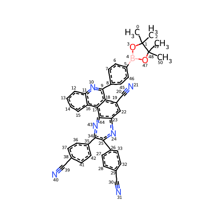 CC1(C)OB(c2ccc(-c3nc4ccccc4c4c3c(C#N)cc3nc(-c5ccc(C#N)cc5)c(-c5ccc(C#N)cc5)nc34)cc2)OC1(C)C